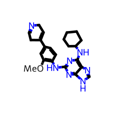 COc1cc(C2=CCN=CC2)ccc1Nc1nc(NC2CCCCC2)c2nc[nH]c2n1